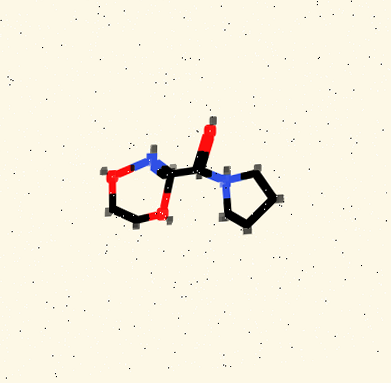 O=C(C1=NOCCO1)N1CCCC1